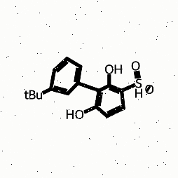 CC(C)(C)c1cccc(-c2c(O)ccc([SH](=O)=O)c2O)c1